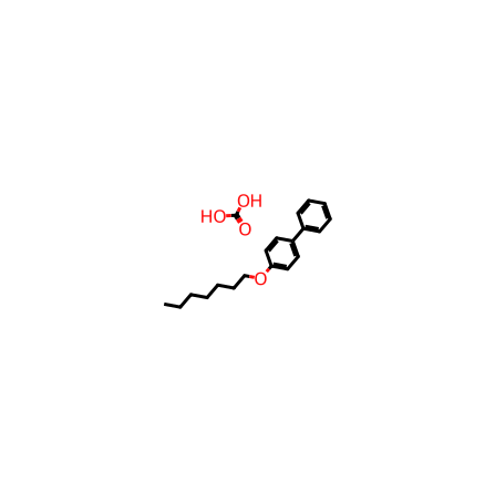 CCCCCCCOc1ccc(-c2ccccc2)cc1.O=C(O)O